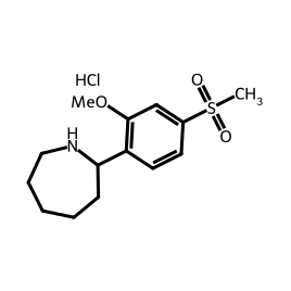 COc1cc(S(C)(=O)=O)ccc1C1CCCCCN1.Cl